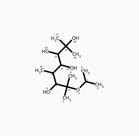 CC(C)OC(C)(C)C(O)C(C)C(O)C(O)C(C)(C)O